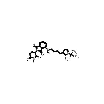 CC(C)(C)N1CCC(CCCCNc2cccc3c2C(=O)N(C2CCC(=O)NC2=O)C3=O)C1